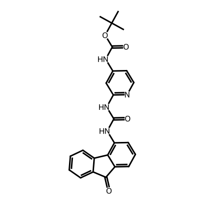 CC(C)(C)OC(=O)Nc1ccnc(NC(=O)Nc2cccc3c2-c2ccccc2C3=O)c1